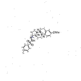 COc1ccc2c(c1)CC[C@@H]1[C@@H]2CC[C@@]2(C)/C(=N\NS(=O)(=O)c3ccc(C)cc3)CC[C@@H]12